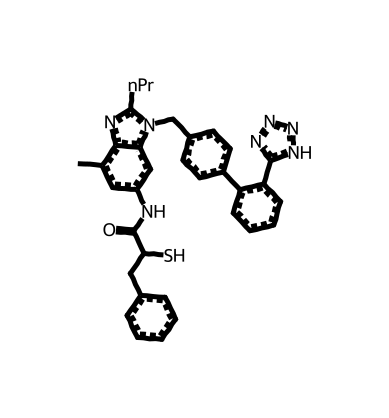 CCCc1nc2c(C)cc(NC(=O)C(S)Cc3ccccc3)cc2n1Cc1ccc(-c2ccccc2-c2nnn[nH]2)cc1